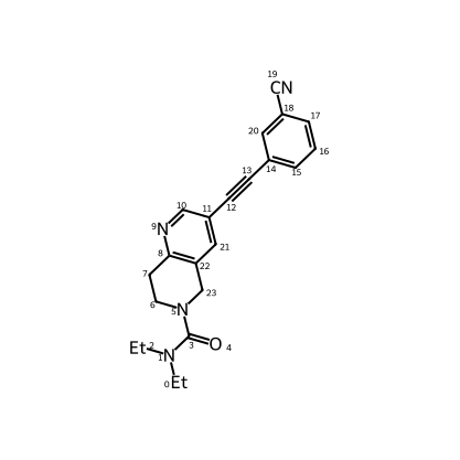 CCN(CC)C(=O)N1CCc2ncc(C#Cc3cccc(C#N)c3)cc2C1